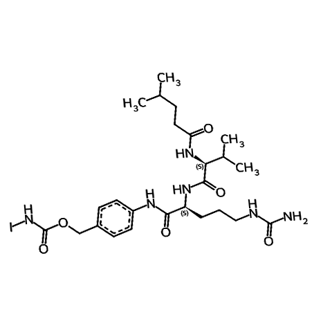 CC(C)CCC(=O)N[C@H](C(=O)N[C@@H](CCCNC(N)=O)C(=O)Nc1ccc(COC(=O)NI)cc1)C(C)C